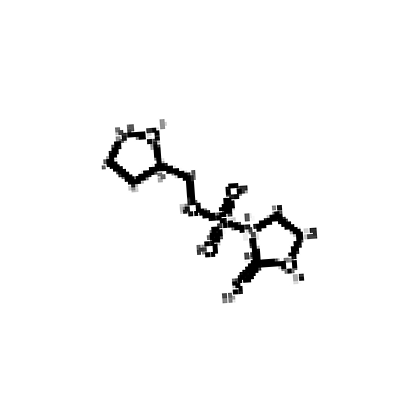 O=S(=O)(OCC1CCSO1)N1CCOC1=S